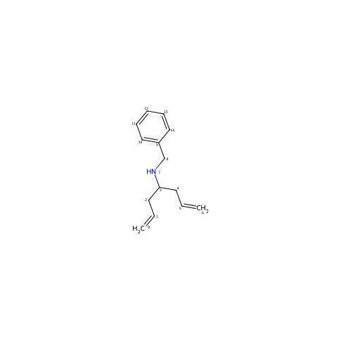 C=CCC(CC=C)NCc1ccccc1